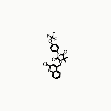 CC1(C)C(=O)N(c2ccc(OC(F)(F)F)cc2)C(=O)N1Cc1cc(Cl)nc2ccccc12